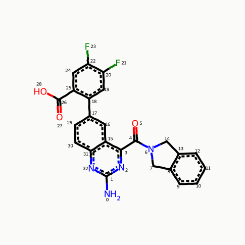 Nc1nc(C(=O)N2Cc3ccccc3C2)c2cc(-c3cc(F)c(F)cc3C(=O)O)ccc2n1